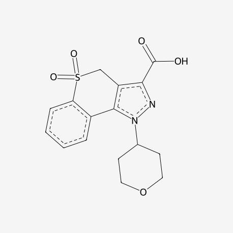 O=C(O)c1nn(C2CCOCC2)c2c1CS(=O)(=O)c1ccccc1-2